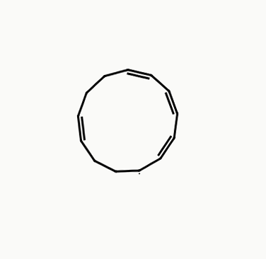 [CH]1C=CC=CC=CCCC=CCC1